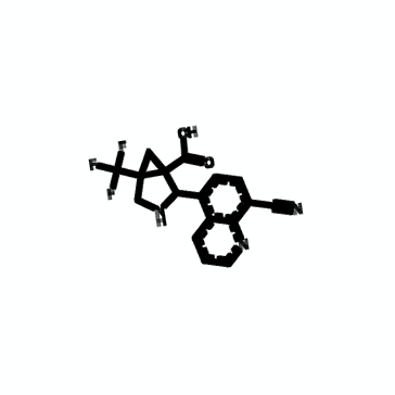 N#Cc1ccc(C2NCC3(C(F)(F)F)CC23C(=O)O)c2cccnc12